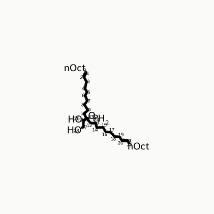 CCCCCCCCC=CCCCCCCCCC(CCCCCCCCC=CCCCCCCCC)(OP)C(O)CO